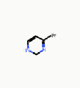 CC(C)C1=NCNC=C1